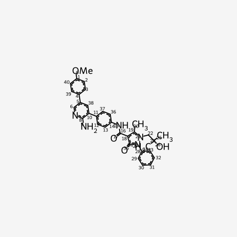 COc1ccc(-c2cnc(N)c(-c3ccc(NC(=O)c4c(C)n(CC(C)(C)O)n(-c5ccccc5)c4=O)cc3)c2)cc1